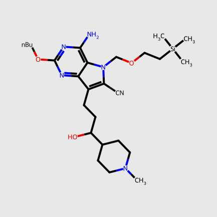 CCCCOc1nc(N)c2c(n1)c(CCC(O)C1CCN(C)CC1)c(C#N)n2COCC[Si](C)(C)C